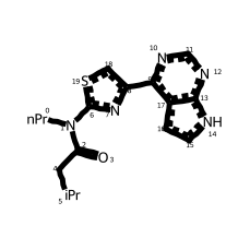 CCCN(C(=O)CC(C)C)c1nc(-c2ncnc3[nH]ccc23)cs1